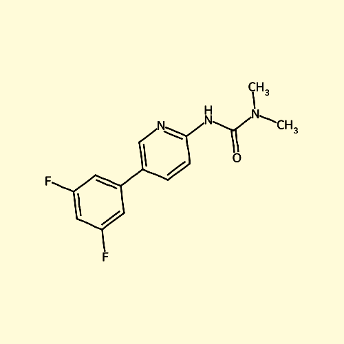 CN(C)C(=O)Nc1ccc(-c2cc(F)cc(F)c2)cn1